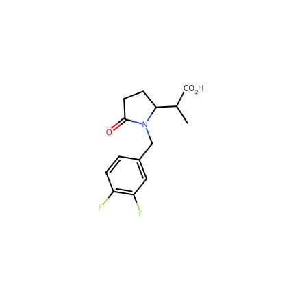 CC(C(=O)O)C1CCC(=O)N1Cc1ccc(F)c(F)c1